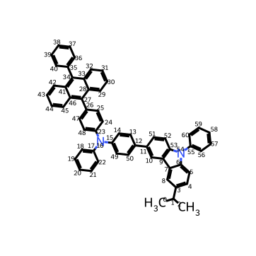 CC(C)c1ccc2c(c1)c1cc(-c3ccc(N(c4ccccc4)c4ccc(-c5c6ccccc6c(-c6ccccc6)c6ccccc56)cc4)cc3)ccc1n2-c1ccccc1